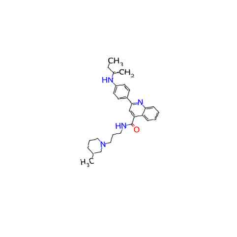 C=C(CC)Nc1ccc(-c2cc(C(=O)NCCCN3CCCC(C)C3)c3ccccc3n2)cc1